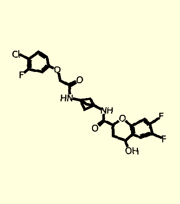 O=C(COc1ccc(Cl)c(F)c1)NC12CC(NC(=O)C3CC(O)c4cc(F)c(F)cc4O3)(C1)C2